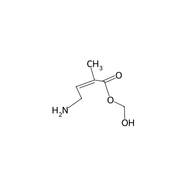 CC(=CCN)C(=O)OCO